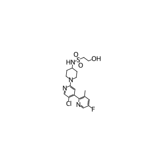 Cc1cc(F)cnc1-c1cc(N2CCC(NS(=O)(=O)CCO)CC2)ncc1Cl